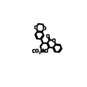 O=C(O)CC(c1ccc2c(c1)OCCO2)c1c(O)c2ccccc2oc1=O